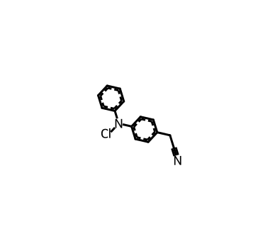 N#CCc1ccc(N(Cl)c2ccccc2)cc1